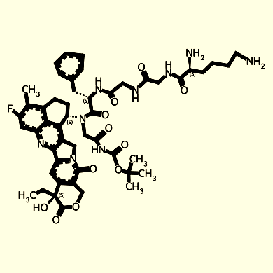 CC[C@@]1(O)C(=O)OCc2c1cc1n(c2=O)Cc2c-1nc1cc(F)c(C)c3c1c2[C@@H](N(CC(=O)NC(=O)OC(C)(C)C)C(=O)[C@H](Cc1ccccc1)NC(=O)CNC(=O)CNC(=O)[C@@H](N)CCCCN)CC3